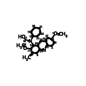 COc1ccc2nc3cc(C)c(OC)c(N(CO)c4ccccc4)c3cc2c1